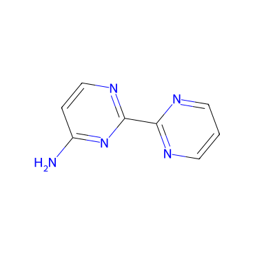 Nc1ccnc(-c2ncccn2)n1